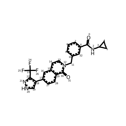 O=C(NC1CC1)c1cccc(Cn2ccc3cc(-c4c[nH]nc4C(F)(F)F)ccc3c2=O)c1